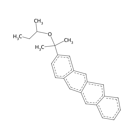 CCC(C)OC(C)(C)c1ccc2cc3cc4ccccc4cc3cc2c1